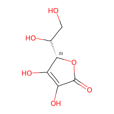 O=C1O[C@@H](C(O)CO)C(O)=C1O